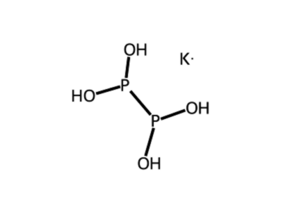 OP(O)P(O)O.[K]